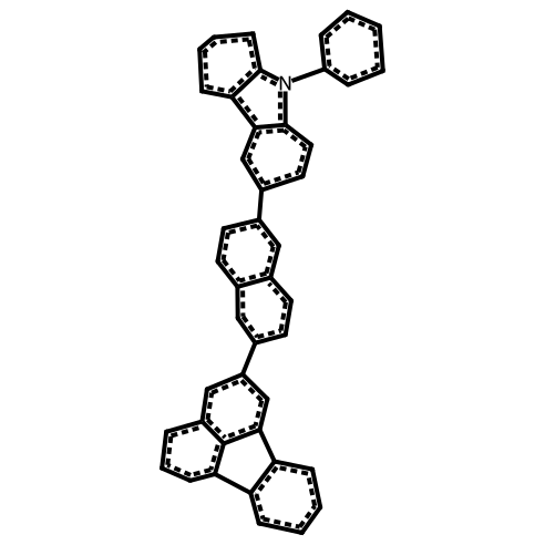 c1ccc(-n2c3ccccc3c3cc(-c4ccc5cc(-c6cc7c8c(cccc8c6)-c6ccccc6-7)ccc5c4)ccc32)cc1